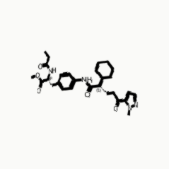 CCC(=O)N[C@H](Cc1ccc(NC(=O)[C@@H](CCC(=O)c2ccnn2C)C2CCCCC2)cc1)C(=O)OC